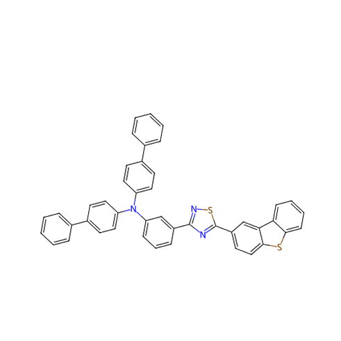 c1ccc(-c2ccc(N(c3ccc(-c4ccccc4)cc3)c3cccc(-c4nsc(-c5ccc6sc7ccccc7c6c5)n4)c3)cc2)cc1